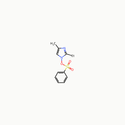 CCc1nc(C)cn1OS(=O)(=O)c1ccccc1